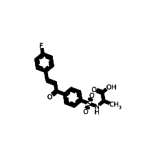 CC(NS(=O)(=O)c1ccc(C(=O)/C=C/c2ccc(F)cc2)cc1)C(=O)O